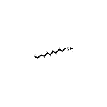 CCCCCCCCCCC.[CH]